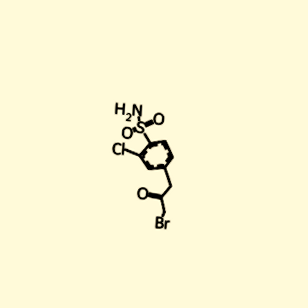 NS(=O)(=O)c1ccc(CC(=O)CBr)cc1Cl